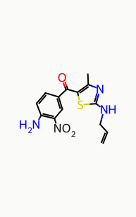 C=CCNc1nc(C)c(C(=O)c2ccc(N)c([N+](=O)[O-])c2)s1